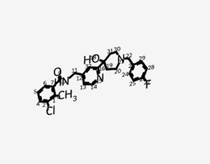 Cc1c(Cl)cccc1C(=O)NCc1ccnc(C2(O)CCN(Cc3ccc(F)cc3)CC2)c1